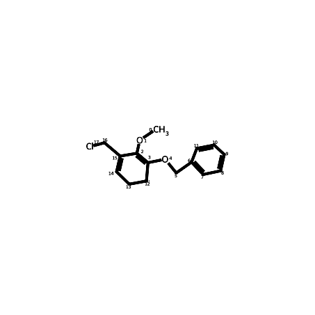 COC1=C(OCc2ccccc2)[CH]CC=C1CCl